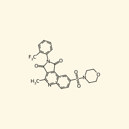 Cc1nc2ccc(S(=O)(=O)N3CCOCC3)cc2c2c1C(=O)N(c1ccccc1C(F)(F)F)C2=O